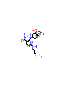 C=CCCNc1ncc(C(N)=O)c(N[C@@H]2CCC(C)(C)[C@H](O)C2)n1